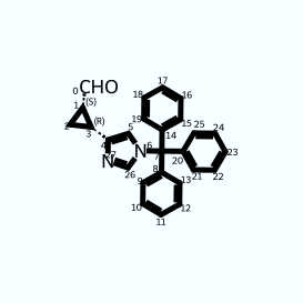 O=C[C@H]1C[C@H]1c1cn(C(c2ccccc2)(c2ccccc2)c2ccccc2)cn1